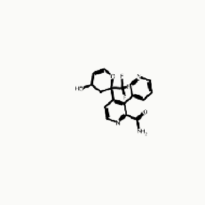 NC(=O)c1nccc(C2(C(F)(F)F)CC(O)C=CO2)c1-c1cccnc1